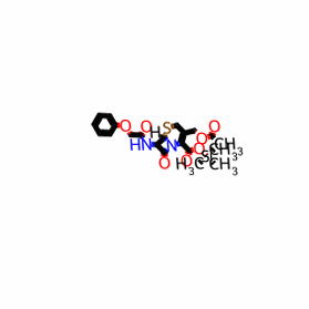 CC(=O)OCC1=C(C(=O)O[Si](C)(C)C)N2C(=O)C(NC(=O)COc3ccccc3)[C@@H]2SC1